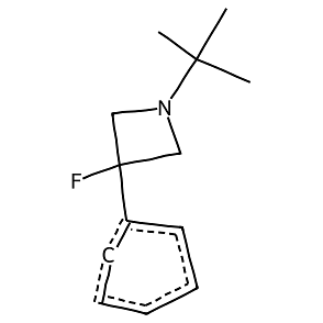 CC(C)(C)N1CC(F)(c2ccccc2)C1